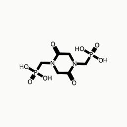 O=C1CN(CP(=O)(O)O)C(=O)CN1CP(=O)(O)O